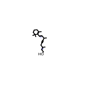 CC1=C(/C=C/C(C)C#CC/C(C)=C/CO)C(C)(C)CCC1